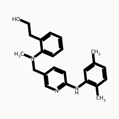 Cc1ccc(C)c(Nc2ccc(CN(C)c3ccccc3CCO)cn2)c1